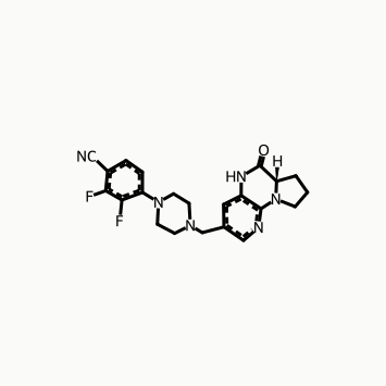 N#Cc1ccc(N2CCN(Cc3cnc4c(c3)NC(=O)[C@@H]3CCCN43)CC2)c(F)c1F